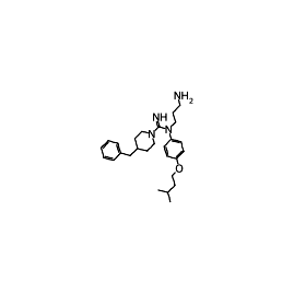 CC(C)CCOc1ccc(N(CCCN)C(=N)N2CCC(Cc3ccccc3)CC2)cc1